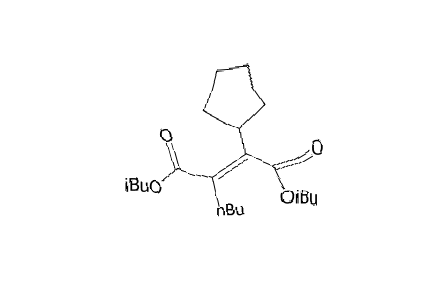 CCCCC(C(=O)OCC(C)C)=C(C(=O)OCC(C)C)C1CCCC1